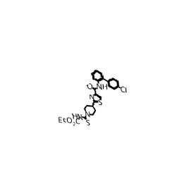 CCOC(=O)NC(=S)N1CCC(c2nc(C(=O)Nc3ccccc3-c3ccc(Cl)cc3)cs2)CC1